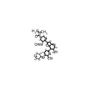 COc1cc(C(=O)N(C)C)cnc1-c1cc2ncc(C(C)C)c(-c3ccc(OC4CCOCC4)c(C#N)n3)c2o1